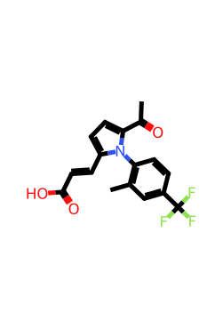 CC(=O)c1ccc(/C=C/C(=O)O)n1-c1ccc(C(F)(F)F)cc1C